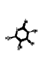 C[C@H]1OC(S)[C@H](O)[C@@H](O)[C@H]1O